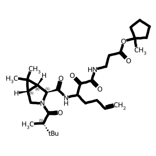 C=CCCC(NC(=O)[C@@H]1[C@@H]2[C@H](CN1C(=O)[C@@H](C)C(C)(C)C)C2(C)C)C(=O)C(=O)NCCC(=O)OC1(C)CCCC1